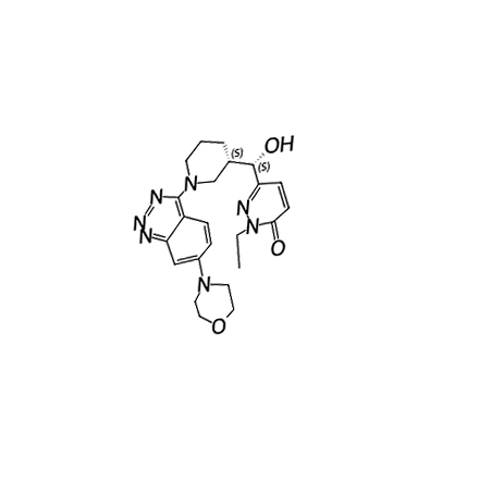 CCn1nc([C@@H](O)[C@H]2CCCN(c3nnnc4cc(N5CCOCC5)ccc34)C2)ccc1=O